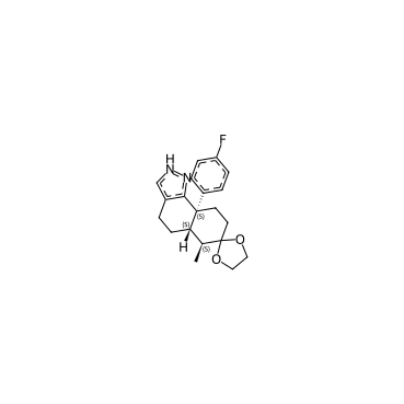 C[C@H]1[C@@H]2CCc3c[nH]nc3[C@@]2(c2ccc(F)cc2)CCC12OCCO2